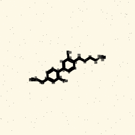 CCCCCCCCCCOc1ccc(-c2ccc(OCCC[C@@H](C)CC)c(F)c2)c(F)c1